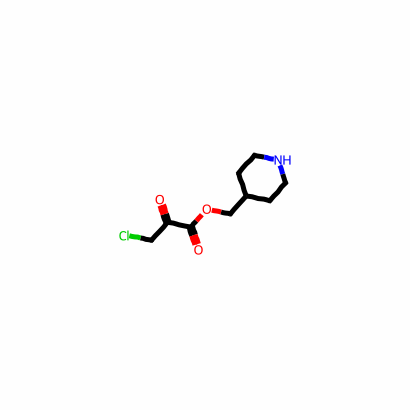 O=C(CCl)C(=O)OCC1CCNCC1